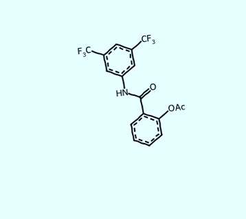 CC(=O)Oc1ccccc1C(=O)Nc1cc(C(F)(F)F)cc(C(F)(F)F)c1